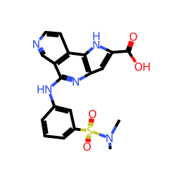 CN(C)S(=O)(=O)c1cccc(Nc2nc3cc(C(=O)O)[nH]c3c3ccncc23)c1